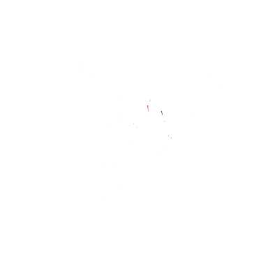 C=CCOC(=O)N1c2cc(OCc3ccccc3)c(OC)cc2C(=O)N2CCC(c3ccsc3)=C[C@H]2[C@@H]1O